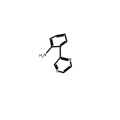 Nc1ccccc1-c1cnccn1